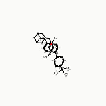 Cc1cc(CN2CC3CC(C2)N3Cc2ccncc2F)ccc1-c1ccc(C(O)(C(F)(F)F)C(F)(F)F)cc1